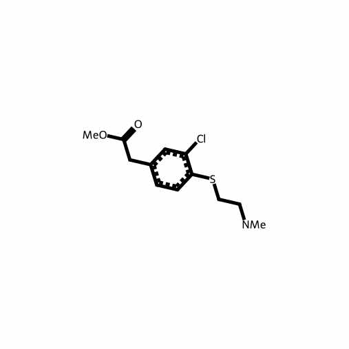 CNCCSc1ccc(CC(=O)OC)cc1Cl